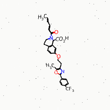 CC=CC=CC(=O)N1CCc2ccc(OCCc3nc(-c4ccc(C(F)(F)F)cc4)oc3C)cc2C1C(=O)O